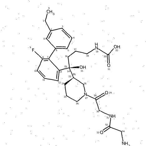 CCc1cccc(-c2c(F)cccc2[C@](O)(CCCNC(=O)O)[C@@H]2CCCN(C(=O)CNC(=O)CN)C2)c1